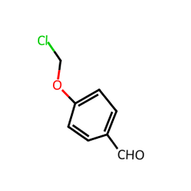 O=Cc1ccc(OCCl)cc1